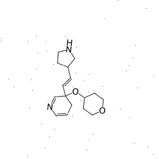 C1=CN=CC(C=CC2CCNC2)(OC2CCOCC2)C1